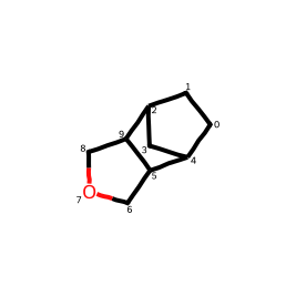 C1CC2CC1C1COCC21